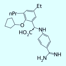 CCCc1cc(CC)cc([C@@H](Nc2ccc(C(=N)N)cc2)C(=O)O)c1OC1CCCC1